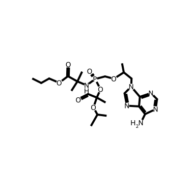 CCCOC(=O)C(C)(C)NP(=O)(COC(C)Cn1cnc2c(N)ncnc21)OC(C)(C=O)OC(C)C